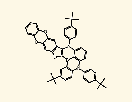 CC(C)(C)c1ccc(N2c3ccc(C(C)(C)C)cc3B3c4oc5cc6c(cc5c4N(c4ccc(C(C)(C)C)cc4)c4cccc2c43)Oc2ccccc2O6)cc1